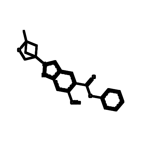 COc1cc2nn(C34COC(C)(C3)C4)cc2cc1C(=O)Oc1ccccc1